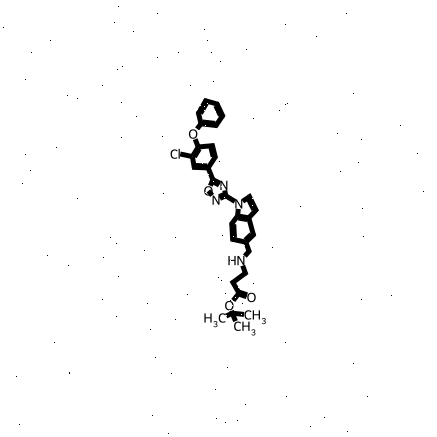 CC(C)(C)OC(=O)CCNCc1ccc2c(ccn2-c2noc(-c3ccc(Oc4ccccc4)c(Cl)c3)n2)c1